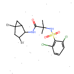 CCC1CC2(CC)CC2C1NC(=O)C(C)(C)NS(=O)(=O)c1c(Cl)cccc1Cl